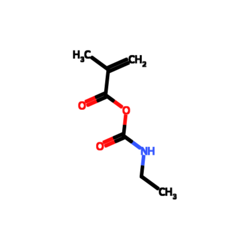 C=C(C)C(=O)OC(=O)NCC